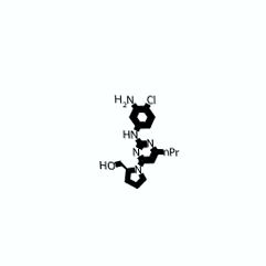 CCCc1cc(N2CCC[C@H]2CO)nc(Nc2ccc(Cl)c(N)c2)n1